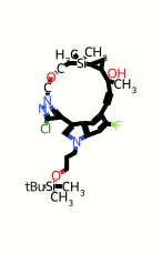 CC1(O)C#Cc2cc3c(cn(CCCO[Si](C)(C)C(C)(C)C)c3cc2F)-c2cn(nc2Cl)COCC[Si](C)(C)C2CC21